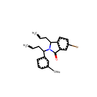 C=CCC(c1cccc(OC)c1)N1C(=O)c2cc(Br)ccc2C1CC=C